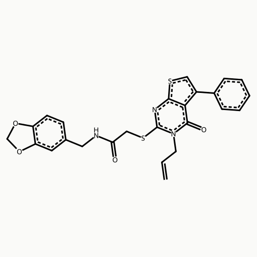 C=CCn1c(SCC(=O)NCc2ccc3c(c2)OCO3)nc2scc(-c3ccccc3)c2c1=O